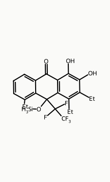 CCc1cccc2c1C(O[SiH3])(C(F)(F)C(F)(F)F)c1c(CC)c(CC)c(O)c(O)c1C2=O